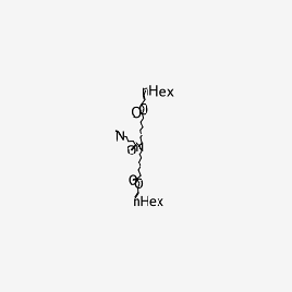 CCCCCC/C=C/COC(=O)CCCCCCCN(CCCCCCCC(=O)OC/C=C/CCCCCC)C(=O)CCCN(C)C